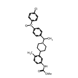 COC(=O)Nc1ccc(C)c(C2CCN(C(C)c3ccc([S+]([O-])c4ccc(Cl)cc4)cc3)CC2)c1